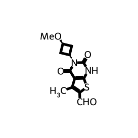 CO[C@H]1C[C@H](n2c(=O)[nH]c3sc(C=O)c(C)c3c2=O)C1